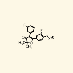 CC1(C)OC(c2ccc(C[S+]=O)c(F)c2)=C(c2cccc(F)c2)C1=O